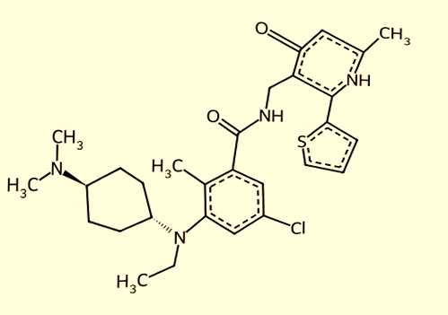 CCN(c1cc(Cl)cc(C(=O)NCc2c(-c3cccs3)[nH]c(C)cc2=O)c1C)[C@H]1CC[C@H](N(C)C)CC1